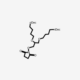 CCCCCCCCCCCCCCOCC(CON1C(=O)CCC1=O)OCCCCCCCCCCCCCC